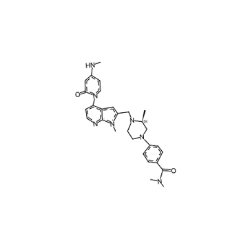 CNc1ccn(-c2ccnc3c2cc(CN2CCN(c4ccc(C(=O)N(C)C)cc4)C[C@@H]2C)n3C)c(=O)c1